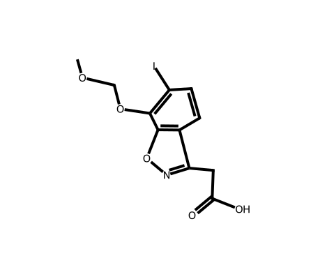 COCOc1c(I)ccc2c(CC(=O)O)noc12